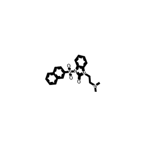 CN(C)CCn1c(=O)n(S(=O)(=O)c2ccc3ccccc3c2)c2ccccc21